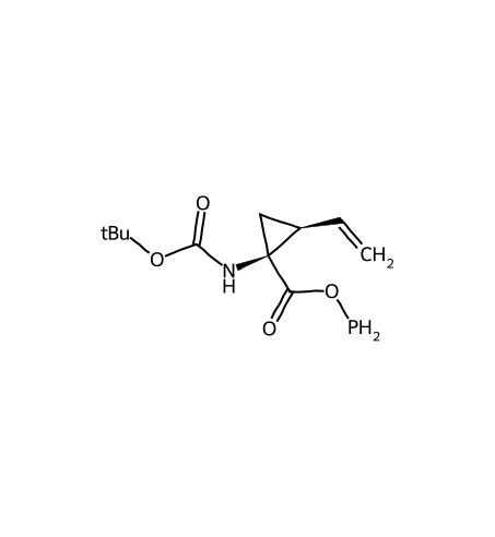 C=C[C@@H]1C[C@@]1(NC(=O)OC(C)(C)C)C(=O)OP